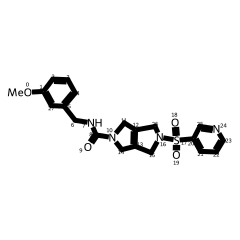 COc1cccc(CNC(=O)N2CC3=C(C2)CN(S(=O)(=O)c2cccnc2)C3)c1